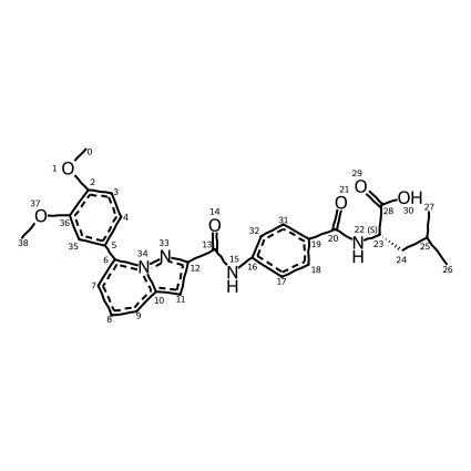 COc1ccc(-c2cccc3cc(C(=O)Nc4ccc(C(=O)N[C@@H](CC(C)C)C(=O)O)cc4)nn23)cc1OC